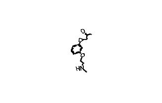 CNCCOc1cccc(OCC(C)=O)c1